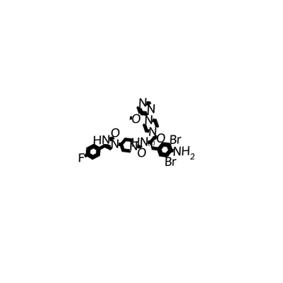 COc1cncnc1N1CCN(C(=O)[C@@H](Cc2cc(Br)c(N)c(Br)c2)NC(=O)N2CCC(n3cc(-c4ccc(F)cc4)[nH]c3=O)CC2)CC1